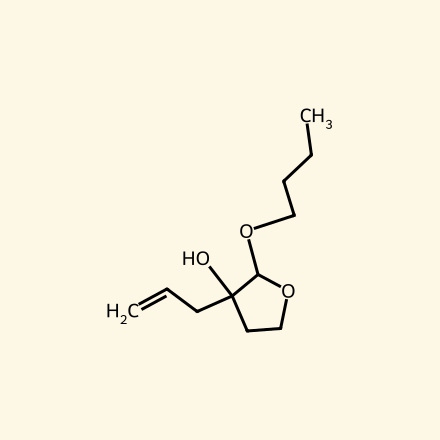 C=CCC1(O)CCOC1OCCCC